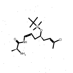 C/C(Cl)=C\C[C@@H](C/C=C\NC(=O)[C@H](C)N)O[Si](C)(C)C(C)(C)C